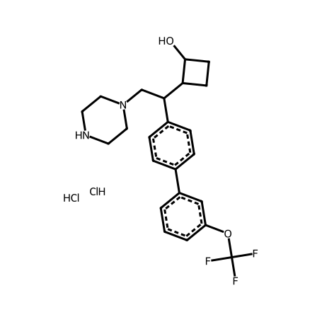 Cl.Cl.OC1CCC1C(CN1CCNCC1)c1ccc(-c2cccc(OC(F)(F)F)c2)cc1